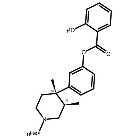 CCCCCCN1CC[C@](C)(c2cccc(OC(=O)c3ccccc3O)c2)[C@@H](C)C1